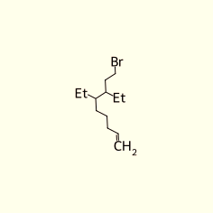 C=CCCCC(CC)C(CC)CCBr